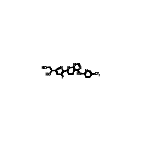 OC[C@H](O)c1cnc(-c2ccc3c(Nc4ccc(C(F)(F)F)cn4)ncnc3n2)c(F)c1